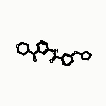 O=C(Nc1cccc(C(=O)N2CCOCC2)c1)c1cccc(OC2CCCC2)c1